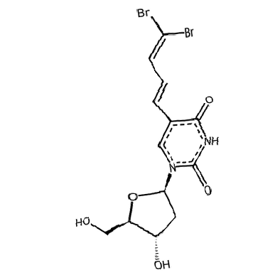 O=c1[nH]c(=O)n([C@H]2C[C@H](O)[C@@H](CO)O2)cc1/C=C/C=C(Br)Br